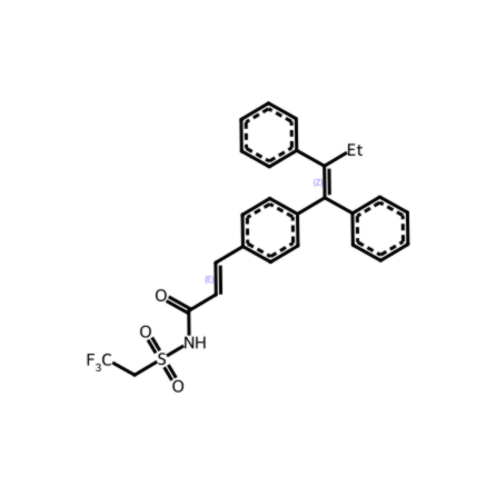 CC/C(=C(\c1ccccc1)c1ccc(/C=C/C(=O)NS(=O)(=O)CC(F)(F)F)cc1)c1ccccc1